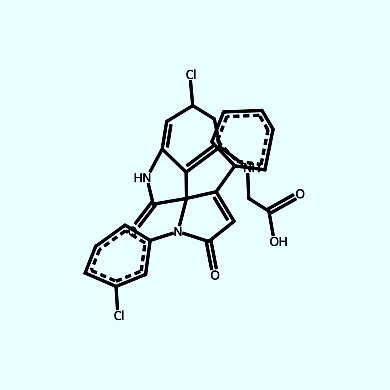 O=C(O)CNC1=C2C(=CC(Cl)C1)NC(=O)C21C(c2ccccc2)=CC(=O)N1c1cccc(Cl)c1